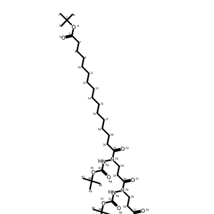 CC(C)(C)OC(=O)CCCCCCCCCCCCCCC(=O)N(CCC(=O)N(CCC(=O)O)NC(=O)OC(C)(C)C)NC(=O)OC(C)(C)C